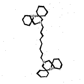 C(CCCCN1CC2(CCCCC2)NC2(CCCCC2)C1)CCCN1CC2(CCCCC2)NC2(CCCCC2)C1